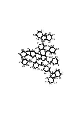 c1ccc(N2c3cc(-n4c5ccccc5c5ccccc54)ccc3B3c4cccc5c4N4c6c3c2cc2c6B(c3ccc(-n6c7ccccc7c7ccccc76)cc3N2c2ccccc2)c2cc3oc6ccccc6c3c(c24)N5c2ccccc2)cc1